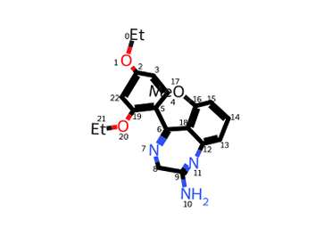 CCOc1ccc(C2=NCC(N)=Nc3cccc(OC)c32)c(OCC)c1